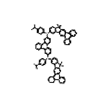 CC(C)c1ccc(N(c2ccc3c(c2)-c2cc4c5ccccc5c5ccccc5c4cc2C3(C)C)c2ccc3c4ccc(N(c5ccc(C(C)C)cc5)c5ccc6c(c5)-c5cc7c8ccccc8c8ccccc8c7cc5C6(C)C)cc4c4ccccc4c3c2)cc1